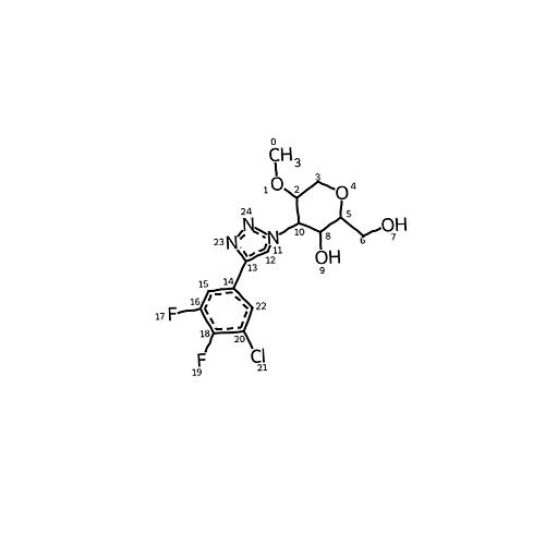 COC1COC(CO)C(O)C1n1cc(-c2cc(F)c(F)c(Cl)c2)nn1